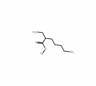 CCCCCC(CC)C(=O)[O][Ta]